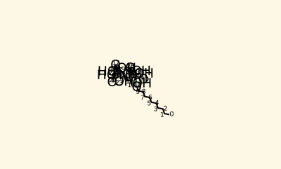 CCCCCCCCCCOCC(CNC(P(=O)(O)O)P(=O)(O)O)C(P(=O)(O)O)P(=O)(O)O